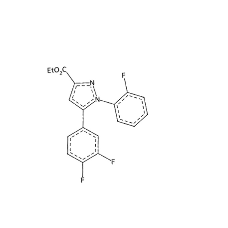 CCOC(=O)c1cc(-c2ccc(F)c(F)c2)n(-c2ccccc2F)n1